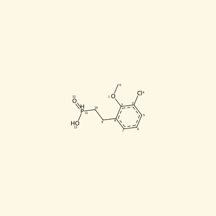 COc1c(Cl)cccc1CC[PH](=O)O